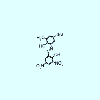 Cc1cc(C(C)(C)C)cc(N=Nc2cc([N+](=O)[O-])cc([N+](=O)[O-])c2O)c1O